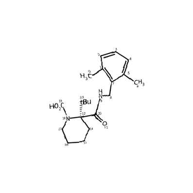 Cc1cccc(C)c1CNC(=O)[C@@]1(C(C)(C)C)CCCCN1C(=O)O